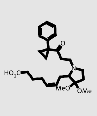 COC1(OC)CCN(CCC(=O)C2(c3ccccc3)CC2)C1C/C=C\CCCC(=O)O